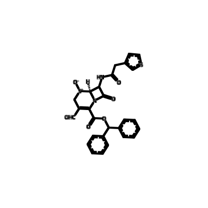 O=CC1=C(C(=O)OC(c2ccccc2)c2ccccc2)N2C(=O)C(NC(=O)Cc3ccsc3)[C@@H]2[S+]([O-])C1